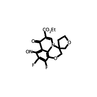 CCOC(=O)c1cn2c3c(c(F)c(F)c(N=O)c3c1=O)OCC21CCOC1